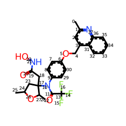 Cc1cc(COc2ccc(N(C(=O)C(F)(F)F)C3(CC(=O)NO)CC(C)OC3C)cc2)c2ccccc2n1